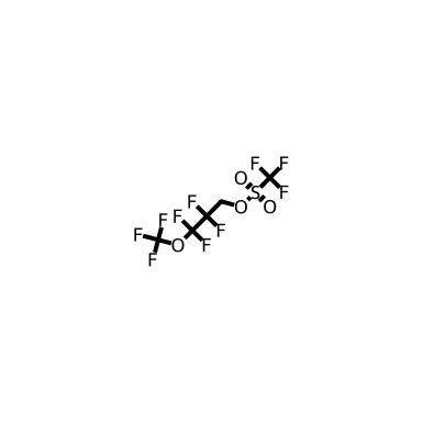 O=S(=O)(OCC(F)(F)C(F)(F)OC(F)(F)F)C(F)(F)F